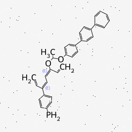 C=C/C(=C\C=C(/C=C)c1ccc(P)cc1)OC(C)Oc1ccc(-c2ccc(-c3ccccc3)cc2)cc1